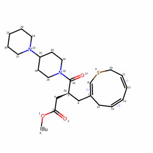 CC(C)(C)OC(=O)C[C@H](C/C1=C/SC/C=C\C=C/C1)C(=O)N1CCC(N2CCCCC2)CC1